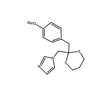 COc1ccc(CC2(Cn3ccnc3)SCCCS2)cc1